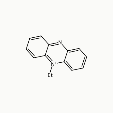 CC[n+]1c2ccccc2nc2ccccc21